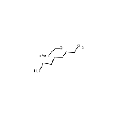 CCCCCCBr.CCCCCCCC